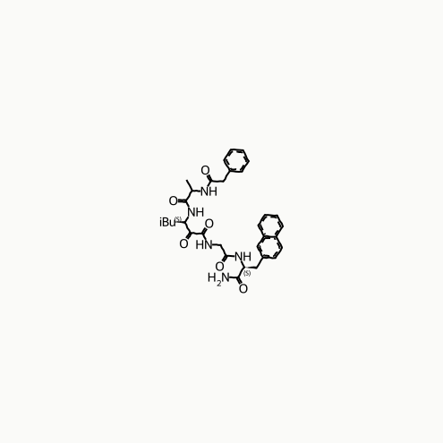 CC[C@H](C)C(NC(=O)C(C)NC(=O)Cc1ccccc1)C(=O)C(=O)NCC(=O)N[C@@H](Cc1ccc2ccccc2c1)C(N)=O